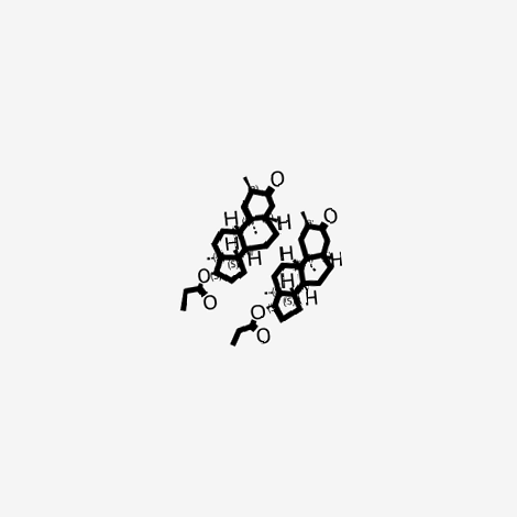 CCC(=O)O[C@H]1CC[C@H]2[C@@H]3CC[C@H]4CC(=O)[C@H](C)C[C@]4(C)[C@H]3CC[C@]12C.CCC(=O)O[C@H]1CC[C@H]2[C@@H]3CC[C@H]4CC(=O)[C@H](C)C[C@]4(C)[C@H]3CC[C@]12C